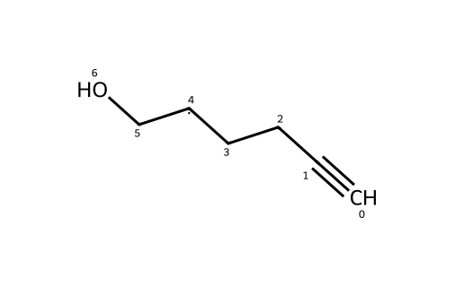 C#CCC[CH]CO